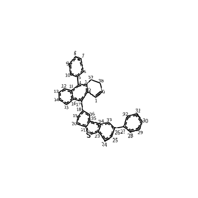 C1=Cc2c(c(-c3ccccc3)c3ccccc3c2-c2ccc3sc4ccc(-c5ccccc5)cc4c3c2)CC1